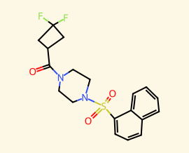 O=C(C1CC(F)(F)C1)N1CCN(S(=O)(=O)c2cccc3ccccc23)CC1